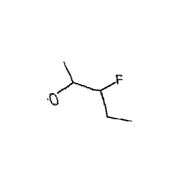 CCC(F)C(C)[O]